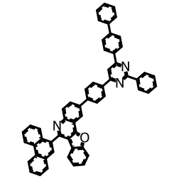 c1ccc(-c2ccc(-c3cc(-c4ccc(-c5ccc6nc(-c7cc8ccccc8c8ccccc78)c7c8ccccc8oc7c6c5)cc4)nc(-c4ccccc4)n3)cc2)cc1